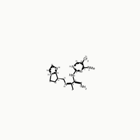 CNc1nc(NC(=C/N)/C(C)=N\C[C@H]2CCn3ccnc32)ncc1C(F)(F)F